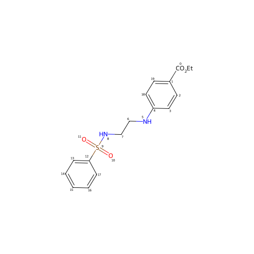 CCOC(=O)c1ccc(NCCNS(=O)(=O)c2ccccc2)cc1